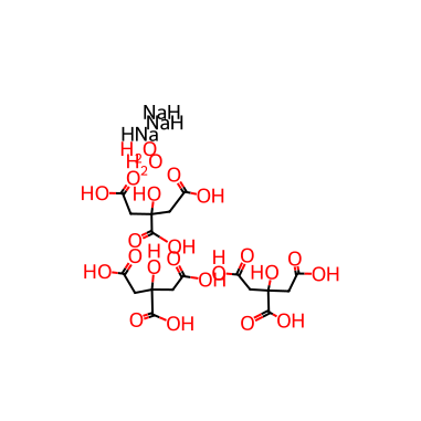 O.O.O=C(O)CC(O)(CC(=O)O)C(=O)O.O=C(O)CC(O)(CC(=O)O)C(=O)O.O=C(O)CC(O)(CC(=O)O)C(=O)O.[NaH].[NaH].[NaH]